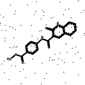 COC(=O)c1ccc(NC(=O)c2cc3ccccc3[nH]c2=O)cc1